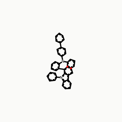 c1ccc(-c2ccc(N(c3ccccc3)c3ccccc3-c3cccc4c5ccccc5n(-c5ccccc5)c34)cc2)cc1